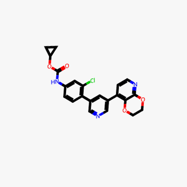 O=C(Nc1ccc(-c2cncc(-c3ccnc4c3OCCO4)c2)c(Cl)c1)OC1CC1